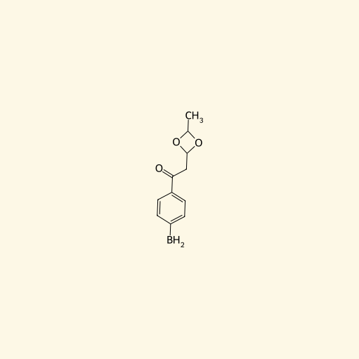 Bc1ccc(C(=O)CC2OC(C)O2)cc1